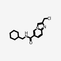 O=C(NCC1CCCCC1)c1ccc2nc(CCl)cn2c1